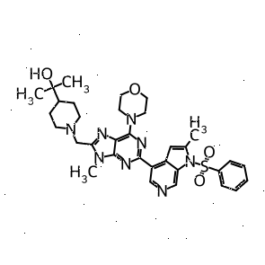 Cc1cc2c(-c3nc(N4CCOCC4)c4nc(CN5CCC(C(C)(C)O)CC5)n(C)c4n3)cncc2n1S(=O)(=O)c1ccccc1